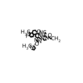 C=CC(=O)N1CCN(c2nc(OC[C@@H]3CCCN3C)nc3c2NC(=O)[C@]2(CCCc4c2ccc(F)c4C)C3)C[C@@H]1CC#N